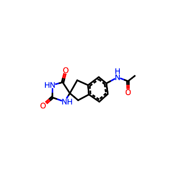 CC(=O)Nc1ccc2c(c1)CC1(C2)NC(=O)NC1=O